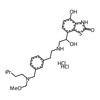 COCN(CCC(C)C)Cc1cccc(CCNCC(O)c2ccc(O)c3[nH]c(=O)sc23)c1.Cl.Cl